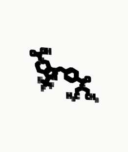 CCN(CC)C(=O)c1ccc(Cn2nc(C(F)(F)F)c3c2CN(C(=O)O)CC3)cc1